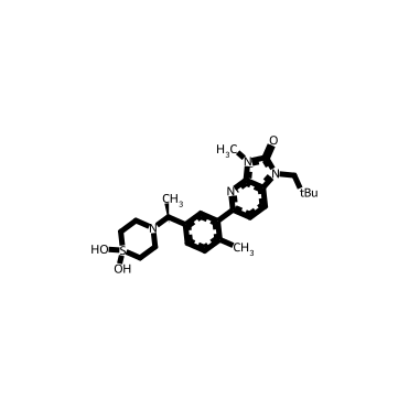 Cc1ccc([C@H](C)N2CCS(O)(O)CC2)cc1-c1ccc2c(n1)n(C)c(=O)n2CC(C)(C)C